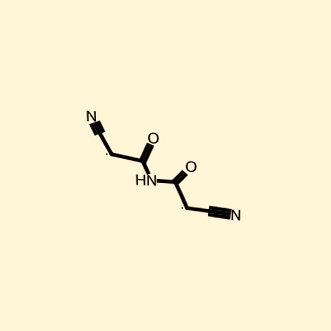 N#C[CH]C(=O)NC(=O)[CH]C#N